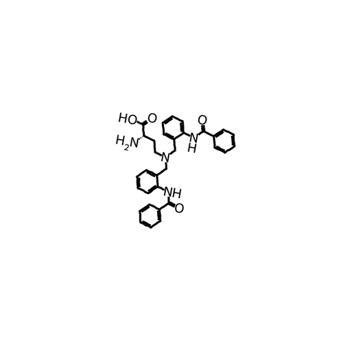 N[C@@H](CCN(Cc1ccccc1NC(=O)c1ccccc1)Cc1ccccc1NC(=O)c1ccccc1)C(=O)O